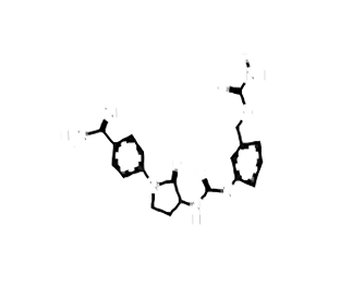 [CH2]CNC(=O)OCc1cccc(NC(=O)NC2CCN(c3ccc(C(=N)N)cc3)C2=O)c1